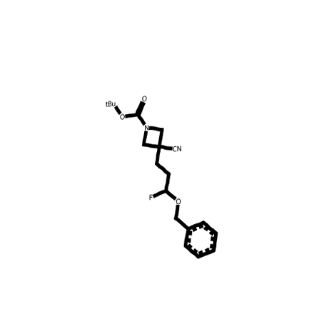 CC(C)(C)OC(=O)N1CC(C#N)(CCC(F)OCc2ccccc2)C1